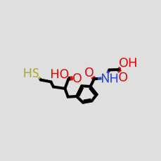 O=C(O)CNC(=O)c1cccc(CC(CCCS)C(=O)O)c1